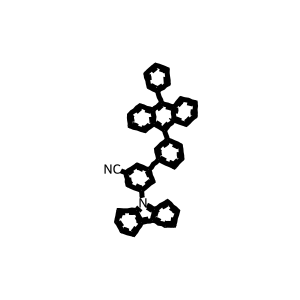 N#Cc1cc(-c2cccc(-c3c4ccccc4c(-c4ccccc4)c4ccccc34)c2)cc(-n2c3ccccc3c3ccccc32)c1